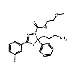 COCCNC(=O)N1N=C(c2cccc(F)c2)SC1(CCCN)c1ccccc1